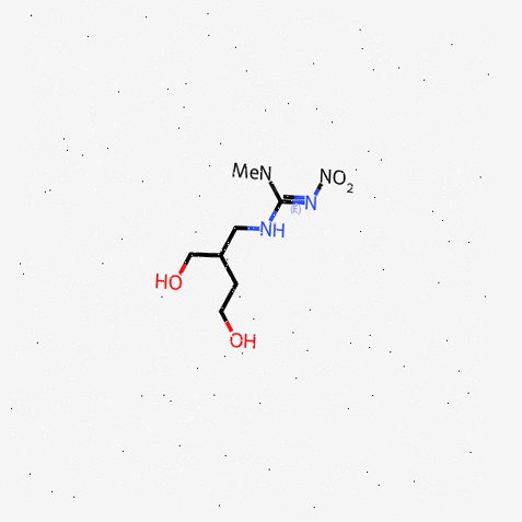 CN/C(=N\[N+](=O)[O-])NCC(CO)CCO